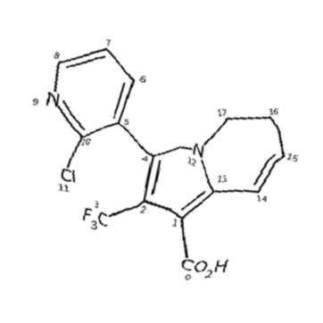 O=C(O)c1c(C(F)(F)F)c(-c2cccnc2Cl)n2c1C=CCC2